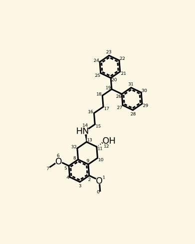 COc1ccc(OC)c2c1C[C@@H](O)[C@H](NCCCCC(c1ccccc1)c1ccccc1)C2